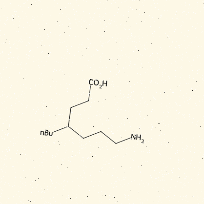 CCCCC(CCCN)CCC(=O)O